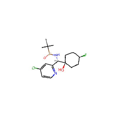 CC(C)(C)[S+]([O-])N[C@@H](c1cc(Cl)ccn1)[C@]1(O)CC[C@@H](F)CC1